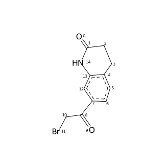 O=C1CCc2ccc(C(=O)CBr)cc2N1